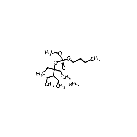 CCCCOP(=O)(OC)OC(CC)(CC)C(CC)CC.N